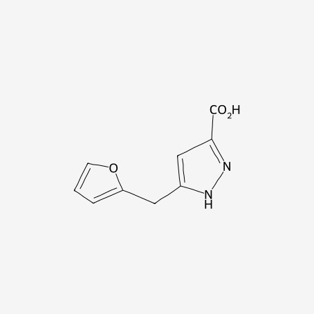 O=C(O)c1cc(Cc2ccco2)[nH]n1